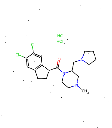 CN1CCN(C(=O)C2CCc3cc(Cl)c(Cl)cc32)C(CN2CCCC2)C1.Cl.Cl